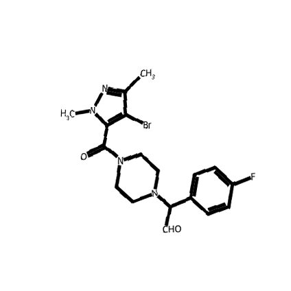 Cc1nn(C)c(C(=O)N2CCN(C(C=O)c3ccc(F)cc3)CC2)c1Br